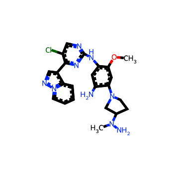 COc1cc(N2CCC(N(C)N)C2)c(N)cc1Nc1ncc(Cl)c(-c2cnn3ccccc23)n1